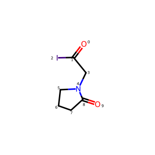 O=C(I)CN1CCCC1=O